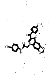 Cc1ccc(C(=O)c2cn(CC(=O)Nc3ccc(Cl)cc3)c3cc4c(cc3c2=O)OCO4)cc1